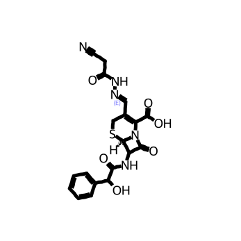 N#CCC(=O)N/N=C/C1=C(C(=O)O)N2C(=O)C(NC(=O)C(O)c3ccccc3)[C@H]2SC1